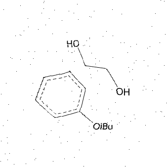 CC(C)COc1ccccc1.OCCO